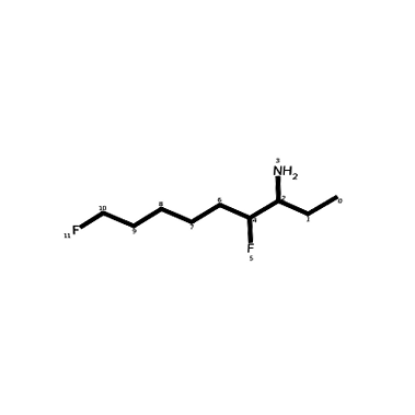 CCC(N)C(F)CCCCCF